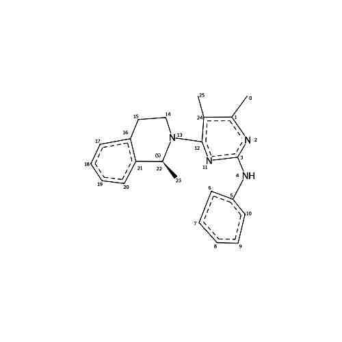 Cc1nc(Nc2ccccc2)nc(N2CCc3ccccc3[C@@H]2C)c1C